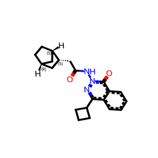 O=C(C[C@@H]1C[C@@H]2CC[C@H]1C2)Nn1nc(C2CCC2)c2ccccc2c1=O